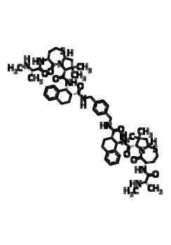 CN[C@@H](C)C(=O)N[C@H]1CCS[C@H]2CC(C)(C)[C@@H](C(=O)N[C@H]3c4ccccc4CC[C@H]3C(=O)NCc3ccc(CNC(=O)[C@@H]4CCc5ccccc5[C@@H]4NC(=O)[C@H]4N5C(=O)[C@@H](NC(=O)[C@H](C)NC)CCS[C@H]5CC4(C)C)cc3)N2C1=O